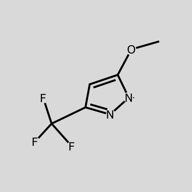 COC1=CC(C(F)(F)F)=N[N]1